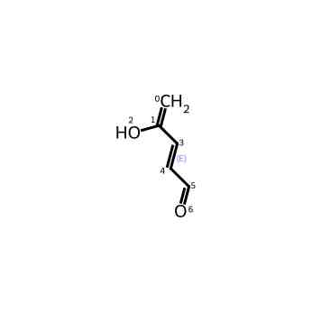 C=C(O)/C=C/C=O